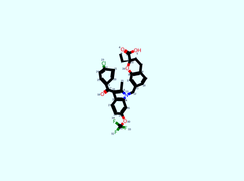 CC[C@@]1(C(=O)O)CCc2ccc(Cn3c(C)c(C(=O)c4ccc(Cl)cc4)c4ccc(OC(F)(F)F)cc43)cc2O1